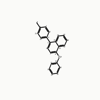 Cc1ccc(-c2ccc(Oc3ccccc3)c3ccccc23)cc1